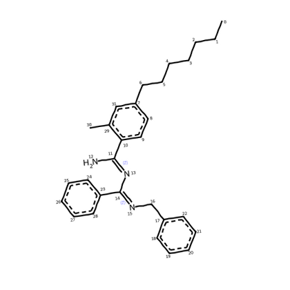 CCCCCCCc1ccc(/C(N)=N/C(=N\Cc2ccccc2)c2ccccc2)c(C)c1